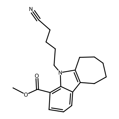 COC(=O)c1cccc2c3c(n(CCCCC#N)c12)CCCCC3